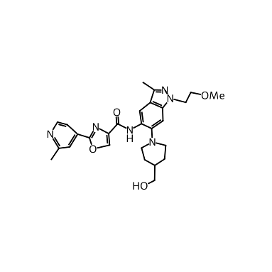 COCCn1nc(C)c2cc(NC(=O)c3coc(-c4ccnc(C)c4)n3)c(N3CCC(CO)CC3)cc21